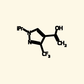 C=C(O)c1cn(C(C)C)nc1C(F)(F)F